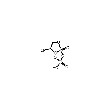 O=P(O)(O)OP1(=O)OCC(Cl)O1